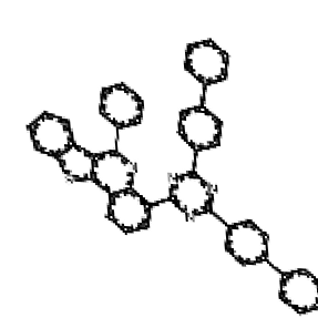 c1ccc(-c2ccc(-c3nc(-c4ccc(-c5ccccc5)cc4)nc(-c4cccc5c4nc(-c4ccccc4)c4c6ccccc6sc54)n3)cc2)cc1